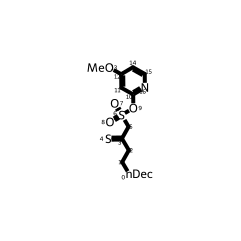 CCCCCCCCCCCCC(=S)CS(=O)(=O)Oc1cc(OC)ccn1